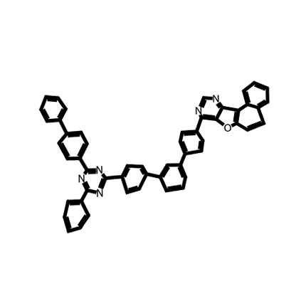 c1ccc(-c2ccc(-c3nc(-c4ccccc4)nc(-c4ccc(-c5cccc(-c6ccc(-c7ncnc8c7oc7ccc9ccccc9c78)cc6)c5)cc4)n3)cc2)cc1